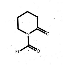 CCC(=O)N1CCCCC1=O